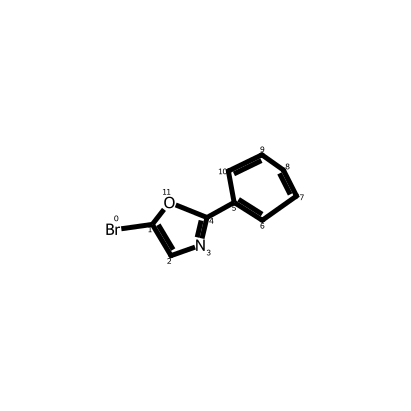 Brc1cnc(-c2ccccc2)o1